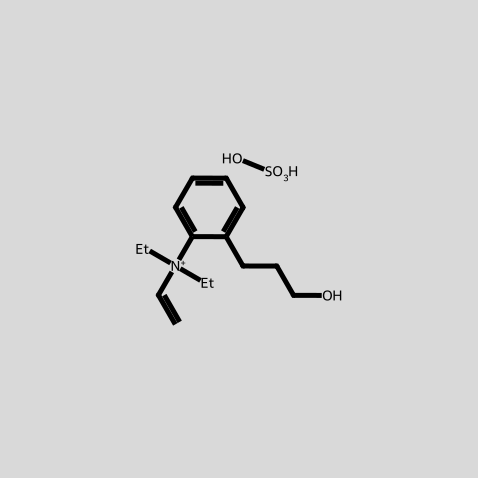 C=C[N+](CC)(CC)c1ccccc1CCCO.O=S(=O)(O)O